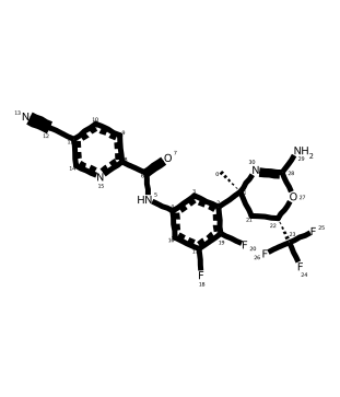 C[C@@]1(c2cc(NC(=O)c3ccc(C#N)cn3)cc(F)c2F)C[C@@H](C(F)(F)F)OC(N)=N1